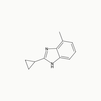 Cc1cccc2[nH]c(C3CC3)nc12